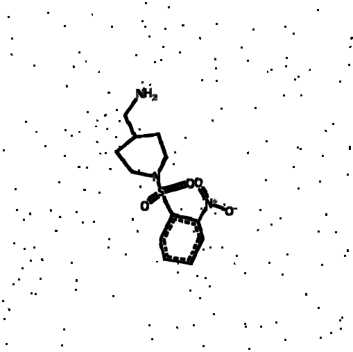 NCC1CCN(S(=O)(=O)c2ccccc2[N+](=O)[O-])CC1